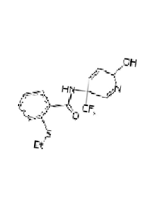 CCSc1ccccc1C(=O)NC1(C(F)(F)F)C=CC(O)N=C1